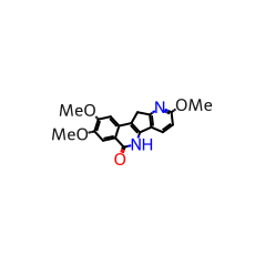 COc1ccc2c(n1)Cc1c-2[nH]c(=O)c2cc(OC)c(OC)cc12